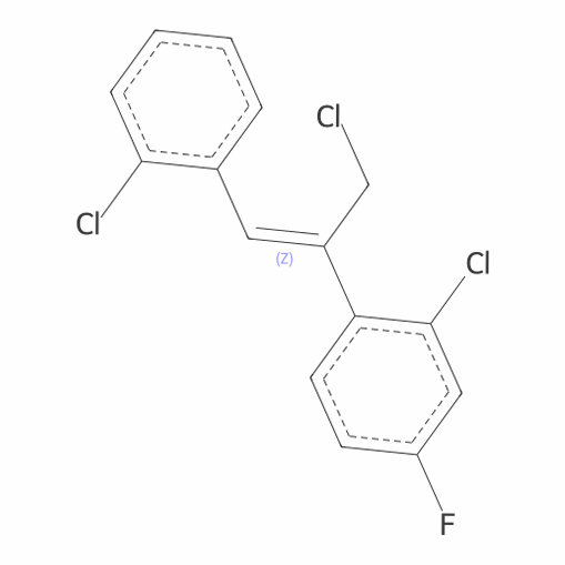 Fc1ccc(/C(=C/c2ccccc2Cl)CCl)c(Cl)c1